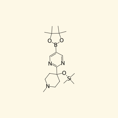 CN1CCC(O[Si](C)(C)C)(c2ncc(B3OC(C)(C)C(C)(C)O3)cn2)CC1